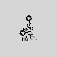 O=C(N[C@@]1(c2ccccc2F)COC(C(F)(F)F)[C@H]1CO)OCc1ccccc1